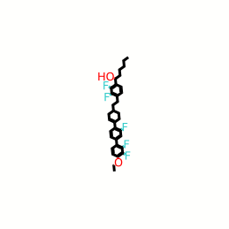 CCCCCC(O)c1ccc(CCC2CC=C(c3ccc(-c4ccc(OCC)c(F)c4F)cc3F)CC2)c(F)c1F